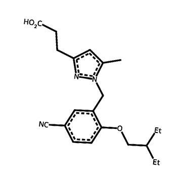 CCC(CC)COc1ccc(C#N)cc1Cn1nc(CCC(=O)O)cc1C